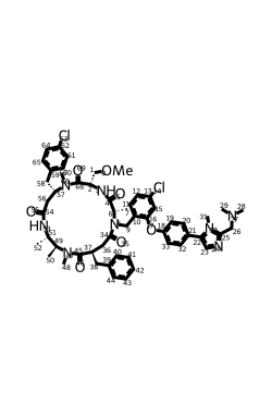 COC[C@@H]1NC(=O)[C@H](C)N(Cc2ccc(Cl)cc2Oc2ccc(-c3cnc(CN(C)C)n3C)cc2)C(=O)C[C@@H](Cc2ccccc2)C(=O)N(C)[C@@H](C)[C@H](C)NC(=O)C[C@H](Cc2ccc(Cl)cc2)N(C)C1=O